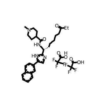 CCC(=O)CCCCC[C@@H](NC(=O)C1CCN(C)CC1)c1ncc(-c2ccc3ccccc3c2)[nH]1.O=C(O)C(F)(F)F.O=C(O)C(F)(F)F